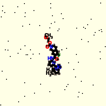 COCCOC(=O)N1CCc2cc(F)c(C(=O)Nc3cccc(-c4nnc5n4C(C)(C)CC5)n3)cc2C1